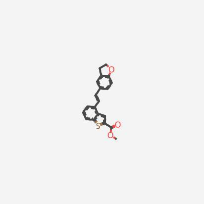 COC(=O)c1cc2c(/C=C/c3ccc4c(c3)CCO4)cccc2s1